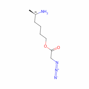 C[C@@H](N)CCCCOC(=O)CN=[N+]=[N-]